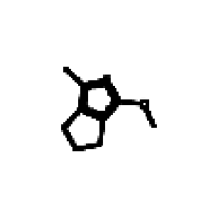 COc1sc(C)c2c1CCC2